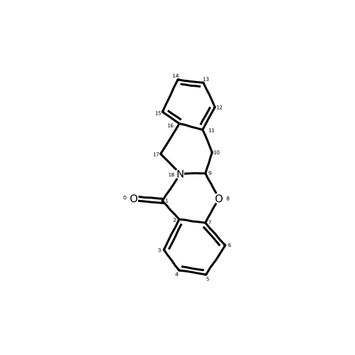 O=C1c2ccccc2OC2Cc3ccccc3CN12